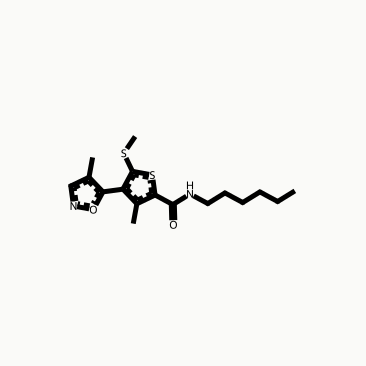 CCCCCCNC(=O)c1sc(SC)c(-c2oncc2C)c1C